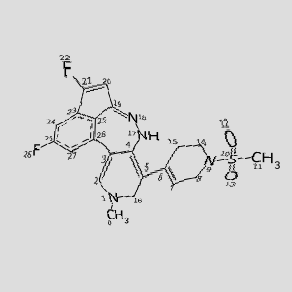 CN1C=C2C(=C(C3=CCN(S(C)(=O)=O)CC3)C1)NN=C1C=C(F)c3cc(F)cc2c31